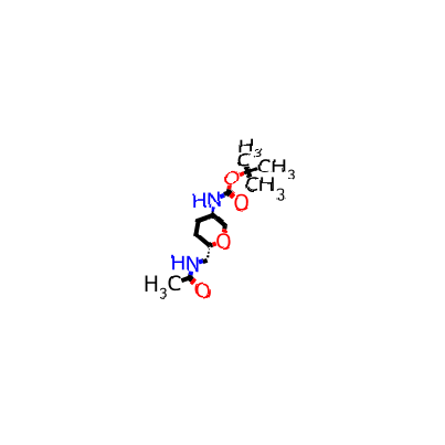 CC(=O)NC[C@@H]1CC[C@@H](NC(=O)OC(C)(C)C)CO1